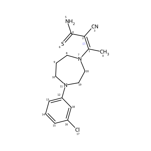 C/C(=C(\C#N)C(N)=S)N1CCCN(c2cccc(Cl)c2)CC1